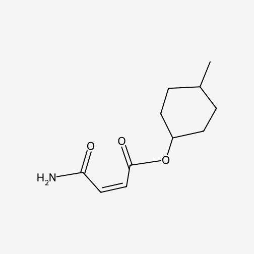 CC1CCC(OC(=O)/C=C\C(N)=O)CC1